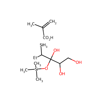 C=C(C)C(=O)O.CCC([SiH3])C(O)(O[Si](C)(C)C)C(O)CO